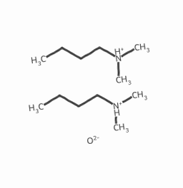 CCCC[NH+](C)C.CCCC[NH+](C)C.[O-2]